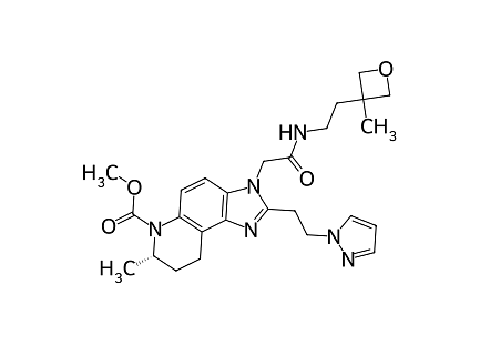 COC(=O)N1c2ccc3c(nc(CCn4cccn4)n3CC(=O)NCCC3(C)COC3)c2CC[C@@H]1C